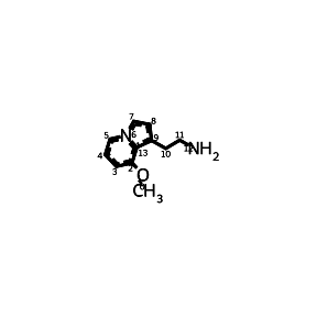 COc1cccn2ccc(CCN)c12